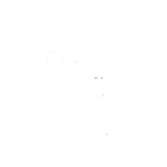 O=C(Nc1ccc(OC(F)(F)Cl)cc1)c1cnc(N2CCCC2)c(-c2ccn[nH]2)c1